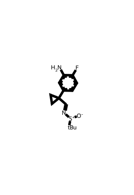 CC(C)(C)[S+]([O-])N=CC1(c2ccc(F)c(N)c2)CC1